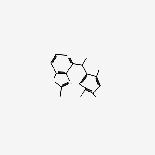 [CH2]C(c1cc(Cl)c(Cl)cc1[N+](=O)[O-])c1nccc2[nH]c(C)nc12